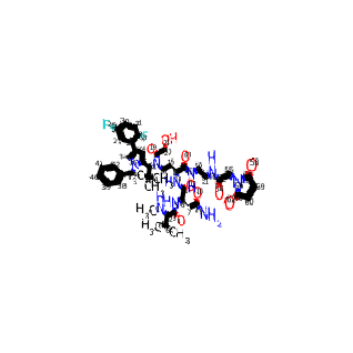 CNC(C(=O)N[C@@H](CC(N)=O)C(=O)N[C@@H](CCN(C(=O)CO)[C@@H](c1cc(-c2cc(F)ccc2F)cn1Cc1ccccc1)C(C)(C)C)C(=O)NCCNC(=O)CN1C(=O)C=CC1=O)C(C)C